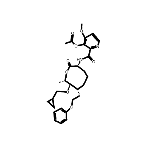 COc1ccnc(C(=O)N[C@H]2CCC[C@H](CCOc3ccccc3)[C@@H](OCC3CC3)[C@H](C)OC2=O)c1OC(C)=O